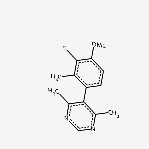 COc1ccc(-c2c(C)ncnc2C)c(C)c1F